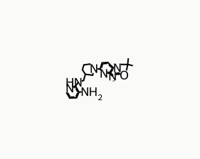 Cn1c(=O)n(CC(C)(C)C)c2ccc(N3CCCC(CNc4ncccc4N)C3)nc21